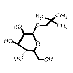 CC(C)(C)CO[C@H]1OC(CO)[C@H](O)C(O)C1O